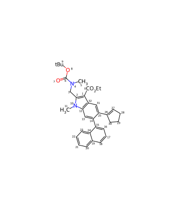 CCOC(=O)c1c(CN(C)C(=O)OC(C)(C)C)n(C)c2cc(-c3cccc4ccccc34)c(C3=CCCC3)cc12